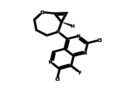 Fc1c(Cl)ncc2c(N3CCCOC4=C[C@H]43)nc(Cl)nc12